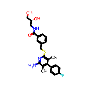 N#Cc1c(N)nc(SCc2cccc(C(=O)NC[C@@H](O)CO)c2)c(C#N)c1-c1ccc(F)cc1